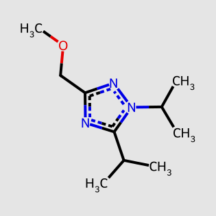 COCc1nc(C(C)C)n(C(C)C)n1